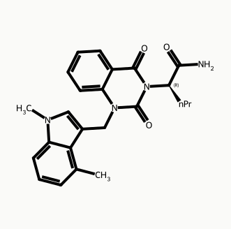 CCC[C@H](C(N)=O)n1c(=O)c2ccccc2n(Cc2cn(C)c3cccc(C)c23)c1=O